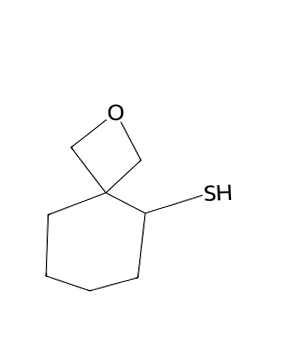 SC1CCCCC12COC2